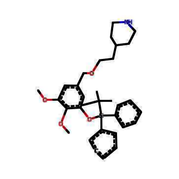 COc1cc(COCCC2CCNCC2)cc(O[Si](c2ccccc2)(c2ccccc2)C(C)(C)C)c1OC